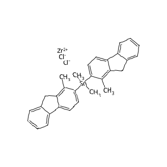 Cc1[c]([Sn]([CH3])([CH3])[c]2ccc3c(c2C)Cc2ccccc2-3)ccc2c1Cc1ccccc1-2.[Cl-].[Cl-].[Zr+2]